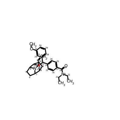 C=CCN1C2CCC1C1CCC2N1C(c1ccc(C(=O)N(CC)CC)cc1)c1cccc(OC)c1